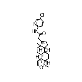 CN1OC=C[C@]2(C)[C@H]3CC[C@]4(C)[C@@H](CC(=O)Nc5ccc(Cl)cn5)CC[C@H]4[C@@H]3CC[C@@H]12